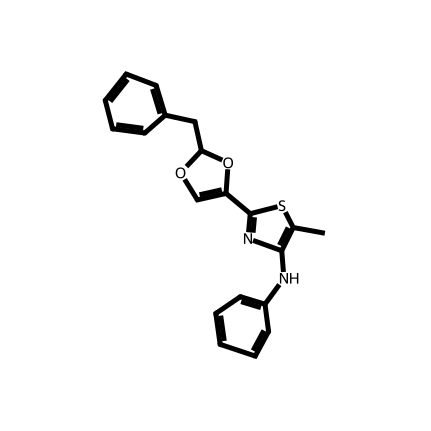 Cc1sc(C2=COC(Cc3ccccc3)O2)nc1Nc1ccccc1